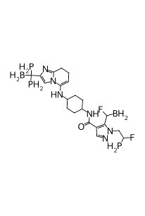 BC(F)c1c(C(=O)NC2CCC(NC3=CCCc4nc(C(B)(P)P)cn43)CC2)cnn1CC(F)P